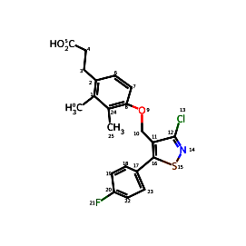 Cc1c(CCC(=O)O)ccc(OCc2c(Cl)nsc2-c2ccc(F)cc2)c1C